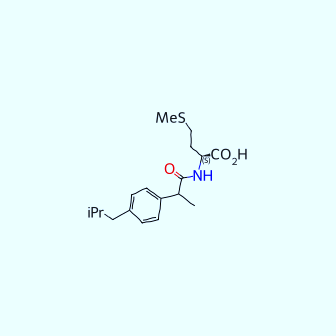 CSCC[C@H](NC(=O)C(C)c1ccc(CC(C)C)cc1)C(=O)O